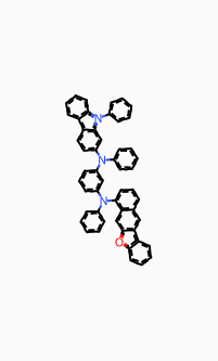 c1ccc(N(c2cccc(N(c3ccccc3)c3cccc4cc5c(cc34)oc3ccccc35)c2)c2ccc3c4ccccc4n(-c4ccccc4)c3c2)cc1